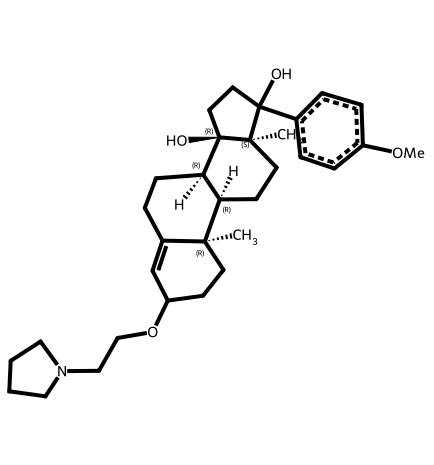 COc1ccc(C2(O)CC[C@@]3(O)[C@@H]4CCC5=CC(OCCN6CCCC6)CC[C@]5(C)[C@@H]4CC[C@]23C)cc1